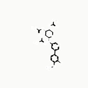 COc1ccc(-c2cncc(O[C@@H]3SC[C@@H](OC(C)=O)[C@H](OC(C)=O)[C@H]3OC(C)=O)c2)cc1F